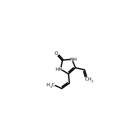 C=Cc1[nH]c(=O)[nH]c1/C=C\C